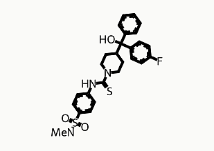 CNS(=O)(=O)c1ccc(NC(=S)N2CCC(C(O)(c3ccccc3)c3ccc(F)cc3)CC2)cc1